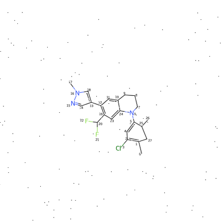 CC1=C(Cl)C=C(N2CCCc3cc(-c4cnn(C)c4)c(C(F)F)cc32)C(C)C1